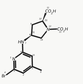 Cc1cc(Br)nc(N[C@H]2C[C@@H](C(=O)O)N(C(=O)O)C2)c1